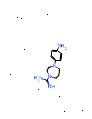 N=C(N)N1CCCN(c2ccc(N)cc2)CC1